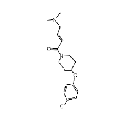 CN(C)C/C=C/C(=O)N1CCC(Oc2ccc(Cl)cc2)CC1